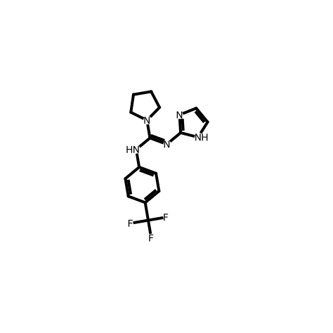 FC(F)(F)c1ccc(NC(=Nc2ncc[nH]2)N2CCCC2)cc1